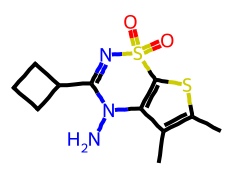 Cc1sc2c(c1C)N(N)C(C1CCC1)=NS2(=O)=O